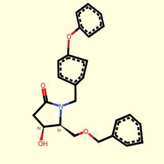 O=C1C[C@H](O)[C@H](COCc2ccccc2)N1Cc1ccc(Oc2ccccc2)cc1